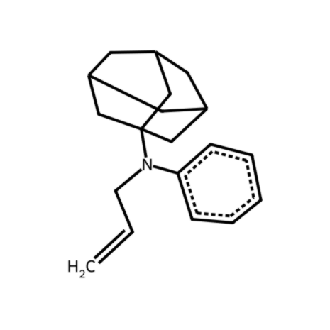 C=CCN(c1ccccc1)C12CC3CC(CC(C3)C1)C2